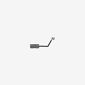 C#C[CH2][Al]